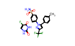 Cc1ccc(-c2cc(C(F)(F)F)nn2-c2ccc(S(N)(=O)=O)cc2)cc1.O=c1[nH]cc(F)c(=O)[nH]1